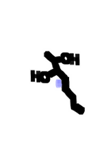 C=CC/C=C/C(O)C(C)O